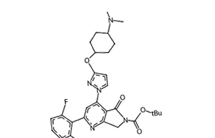 CN(C)C1CCC(Oc2ccn(-c3cc(-c4c(F)cccc4C#N)nc4c3C(=O)N(C(=O)OC(C)(C)C)C4)n2)CC1